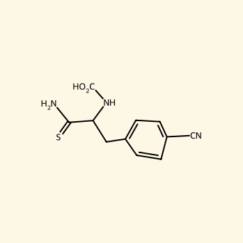 N#Cc1ccc(CC(NC(=O)O)C(N)=S)cc1